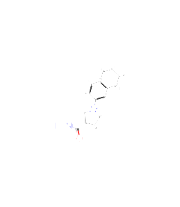 NC(=O)[C@@H]1CCN(c2ccc3c(c2)CCCC3)C1